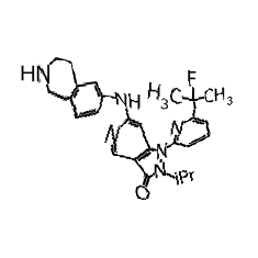 CC(C)n1c(=O)c2cnc(Nc3ccc4c(c3)CCNC4)cc2n1-c1cccc(C(C)(C)F)n1